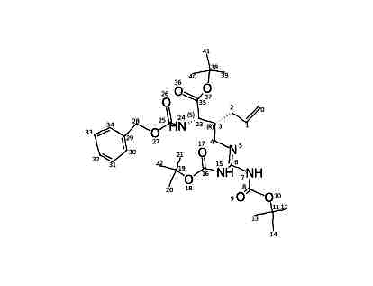 C=CC[C@H](CN=C(NC(=O)OC(C)(C)C)NC(=O)OC(C)(C)C)[C@H](NC(=O)OCc1ccccc1)C(=O)OC(C)(C)C